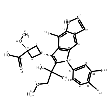 COCC(C)(C)c1c([C@H]2C[C@](OC)(C(=O)O)C2)c2c(F)c3[nH]ncc3cc2n1-c1ccc(F)c(F)c1